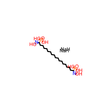 O=P(O)(O)/C(CCCCCCCCCCCCCCCCC/C(=N\O)P(=O)(O)O)=N\O.[NaH].[NaH]